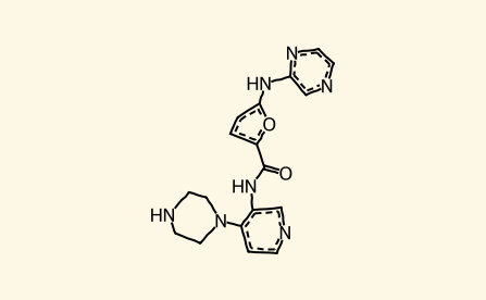 O=C(Nc1cnccc1N1CCNCC1)c1ccc(Nc2cnccn2)o1